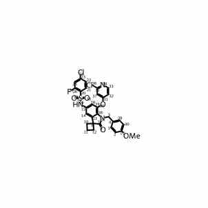 COc1ccc(CN2C(=O)C3(CCC3)c3cc(NS(=O)(=O)c4ccc(Cl)cc4F)cc(Oc4ccnc(Cl)c4)c32)cc1